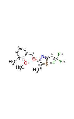 COc1c(C)cccc1COc1nc(CC(F)(F)F)sc1C